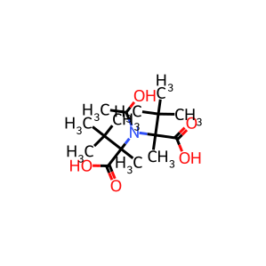 CC(O)N(C(C)(C(=O)O)C(C)(C)C)C(C)(C(=O)O)C(C)(C)C